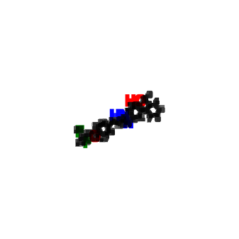 CC(O)c1ccccc1-c1ccc2[nH]c(/C=C/c3ccc(OCC(C)(F)F)cc3)nc2c1